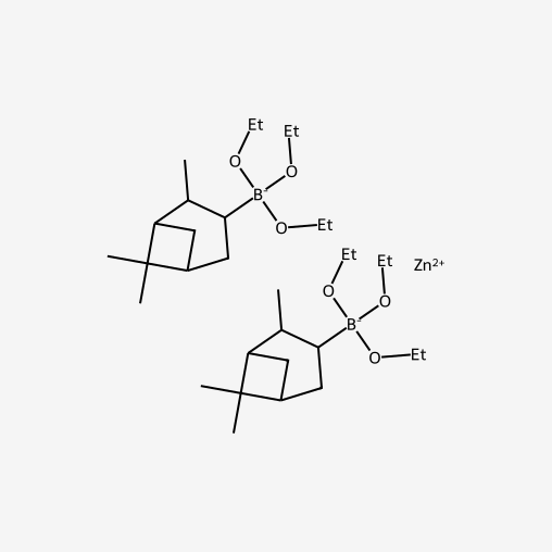 CCO[B-](OCC)(OCC)C1CC2CC(C1C)C2(C)C.CCO[B-](OCC)(OCC)C1CC2CC(C1C)C2(C)C.[Zn+2]